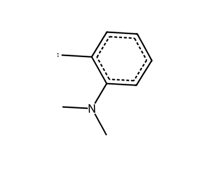 [CH]c1ccccc1N(C)C